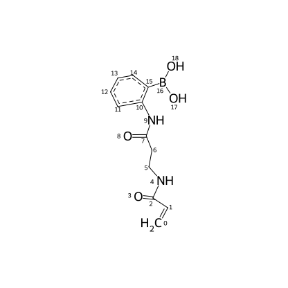 C=CC(=O)NCCC(=O)Nc1ccccc1B(O)O